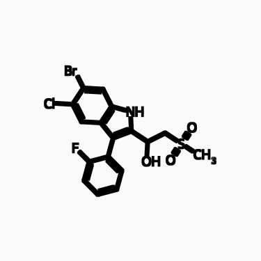 CS(=O)(=O)CC(O)c1[nH]c2cc(Br)c(Cl)cc2c1-c1ccccc1F